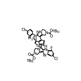 CC(C)(C)OC(=O)N1CCn2nc(Nc3ccc(Cl)cc3F)c(Br)c2C1.Cc1c[nH]c2nccc(-c3c(Nc4ccc(Cl)cc4F)nn4c3CN(C(=O)OC(C)(C)C)CC4)c12